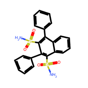 NS(=O)(=O)c1c(-c2ccccc2)c(S(N)(=O)=O)c2ccccc2c1-c1ccccc1